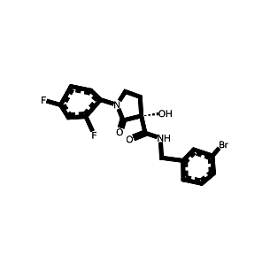 O=C(NCc1cccc(Br)c1)[C@]1(O)CCN(c2ccc(F)cc2F)C1=O